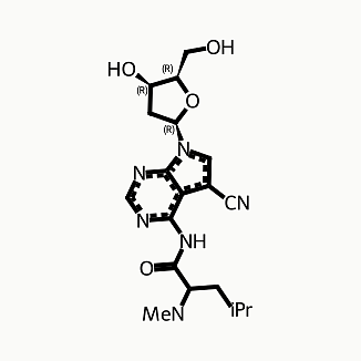 CNC(CC(C)C)C(=O)Nc1ncnc2c1c(C#N)cn2[C@H]1C[C@@H](O)[C@@H](CO)O1